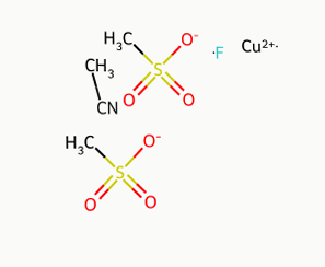 CC#N.CS(=O)(=O)[O-].CS(=O)(=O)[O-].[Cu+2].[F]